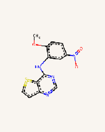 COc1ccc([N+](=O)[O-])cc1Nc1ncnc2ccsc12